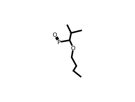 CCCCOC(P=O)[C](C)C